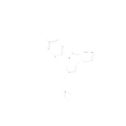 CC(C)(C)OCC1COC(CN2CCCC2)(c2ccc(Cl)cc2Cl)O1